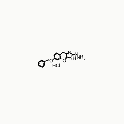 Cl.NN=C1N=C(Cc2ccc(OCc3ccccc3)cc2)C(=O)N1